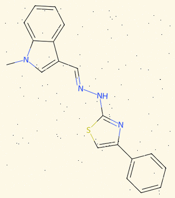 Cn1cc(/C=N/Nc2nc(-c3ccccc3)cs2)c2ccccc21